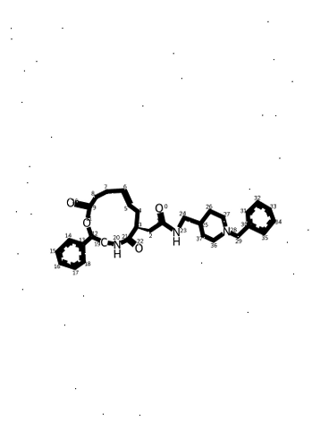 O=C(C[C@@H]1C/C=C/CCC(=O)OC(c2ccccc2)CNC1=O)NCC1CCN(Cc2ccccc2)CC1